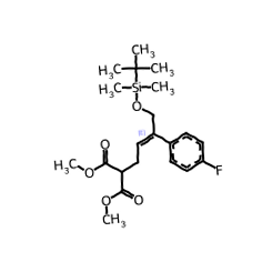 COC(=O)C(C/C=C(/CO[Si](C)(C)C(C)(C)C)c1ccc(F)cc1)C(=O)OC